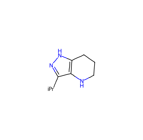 CC(C)c1n[nH]c2c1NCCC2